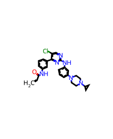 C=CC(=O)Nc1cccc(-c2nc(Nc3cccc(N4CCN(C5CC5)CC4)c3)ncc2Cl)c1